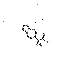 C=C(C(=O)O)c1ccc2cccc-2cc1